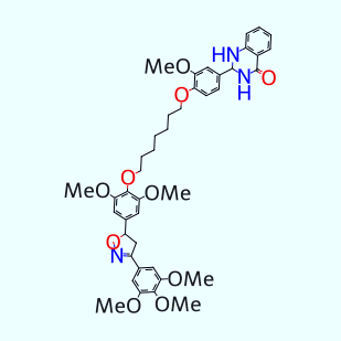 COc1cc(C2NC(=O)c3ccccc3N2)ccc1OCCCCCCCOc1c(OC)cc(C2CC(c3cc(OC)c(OC)c(OC)c3)=NO2)cc1OC